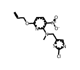 C=CCOc1ccc([N+](=O)[O-])c(N(C)Cc2cnc(Cl)s2)n1